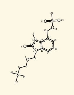 Cn1c(=O)n(COCC[Si](C)(C)C)c2cccc(COS(C)(=O)=O)c21